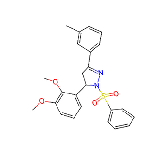 COc1cccc(C2CC(c3cccc(C)c3)=NN2S(=O)(=O)c2ccccc2)c1OC